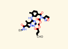 CCNC(=O)c1cn2ncnc(Nc3cc(C(=O)N(C(=O)OCOC(=O)/C=C/C=O)c4ccon4)ccc3C)c2c1C